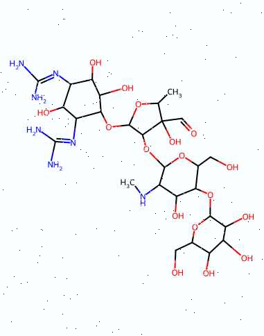 CNC1C(OC2C(OC3C(O)C(O)C(N=C(N)N)C(O)C3N=C(N)N)OC(C)C2(O)C=O)OC(CO)C(OC2OC(CO)C(O)C(O)C2O)C1O